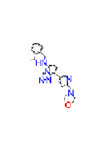 CCc1ccccc1CNc1ccc(-c2ccc(CN3CCOCC3)nc2)c2nncn12